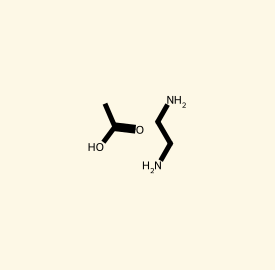 CC(=O)O.NCCN